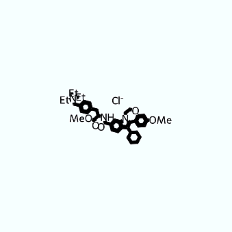 CC[N+](CC)(CC)Cc1ccc(CC(NC(=O)c2ccc3c(C4CCCCC4)c4n(c3c2)CCOc2cc(OC)ccc2-4)C(=O)OC)cc1.[Cl-]